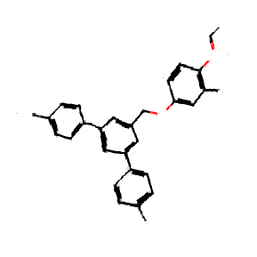 Cc1cc(OCc2cc(-c3ccc(C(F)(F)F)cc3)cc(-c3ccc(C(F)(F)F)cc3)c2)ccc1OCC(=O)O